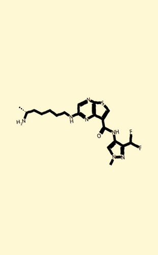 C[C@@H](N)CCCCCNc1cnc2scc(C(=O)Nc3cn(C)nc3C(F)F)c2n1